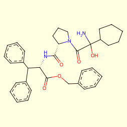 NC(O)(C(=O)N1CCC[C@H]1C(=O)N[C@H](C(=O)OCc1ccccc1)C(c1ccccc1)c1ccccc1)C1CCCCC1